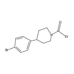 CCC(=O)N1CCC(c2ccc(Br)cc2)CC1